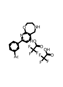 CC(=O)c1cccc(-c2ccc3c(n2)OCCNC3)c1.O=C(O)C(F)(F)F.O=C(O)C(F)(F)F